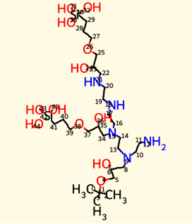 CC(C)(C)OCC(O)CN(CCN)CCN(CCNCCNCC(O)COCCC[Si](O)(O)O)CC(O)COCCC[Si](O)(O)O